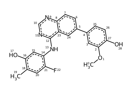 COc1cc(-c2ccc3ncnc(Nc4cc(O)c(C)cc4F)c3c2)ccc1O